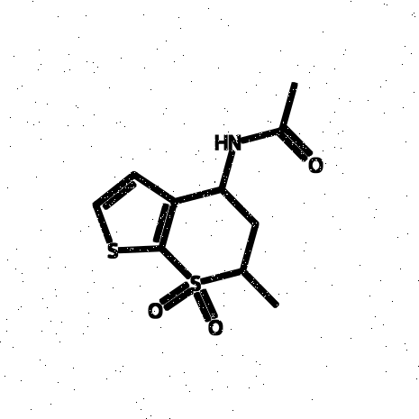 CC(=O)NC1CC(C)S(=O)(=O)c2sccc21